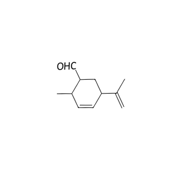 C=C(C)C1C=CC(C)C(C=O)C1